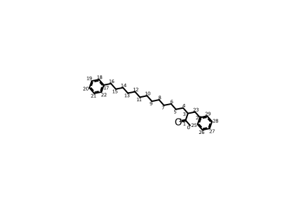 CC(=O)C(CCCCCCCCCCCCCc1ccccc1)Cc1ccccc1